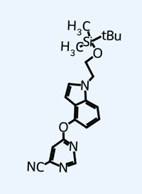 CC(C)(C)[Si](C)(C)OCCn1ccc2c(Oc3cc(C#N)ncn3)cccc21